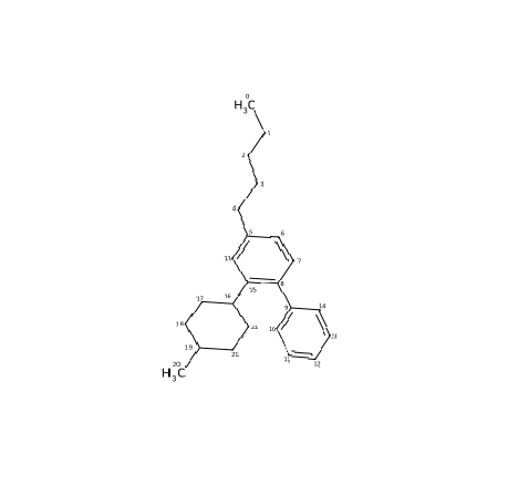 CCCCCc1ccc(-c2ccccc2)c(C2CCC(C)CC2)c1